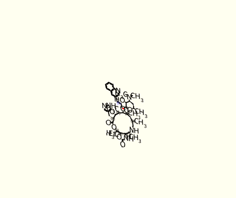 CC[C@H]1OC(=O)[C@H](Cc2cn[nH]c2)C(=O)[C@H](C)C(O[C@@H]2OC(C)CC(N(C)C)C2O)[C@](C)(OC/C=C/c2cnc3ccccc3c2)C[C@@H](C)CN[C@H](C)[C@H]2NC(=O)O[C@@]21C